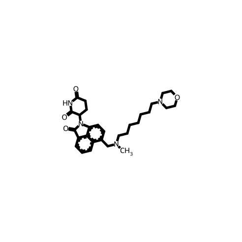 CN(CCCCCCCN1CCOCC1)Cc1ccc2c3c(cccc13)C(=O)N2C1CCC(=O)NC1=O